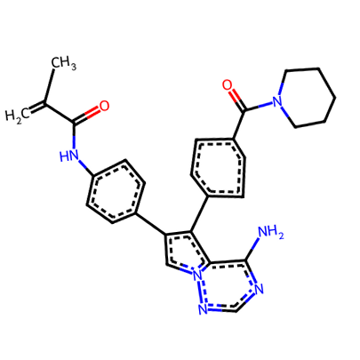 C=C(C)C(=O)Nc1ccc(-c2cn3ncnc(N)c3c2-c2ccc(C(=O)N3CCCCC3)cc2)cc1